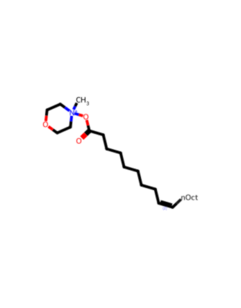 CCCCCCCC/C=C\CCCCCCCC(=O)O[N+]1(C)CCOCC1